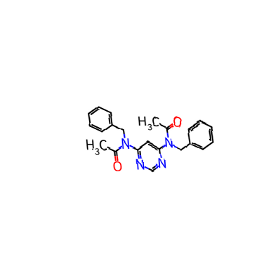 CC(=O)N(Cc1ccccc1)c1cc(N(Cc2ccccc2)C(C)=O)ncn1